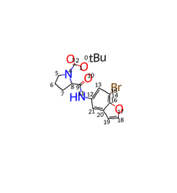 CC(C)(C)OC(=O)N1CCCC1C(=O)Nc1cc(Br)c2occc2c1